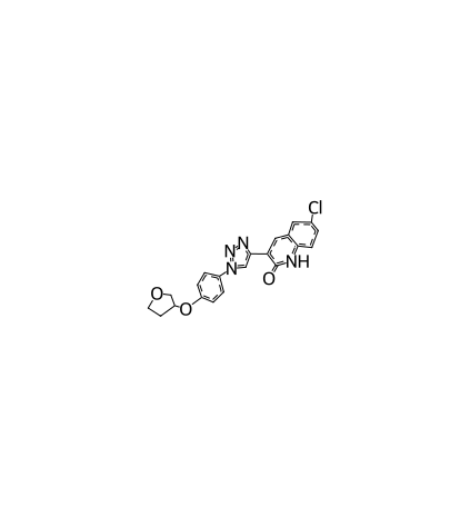 O=c1[nH]c2ccc(Cl)cc2cc1-c1cn(-c2ccc(OC3CCOC3)cc2)nn1